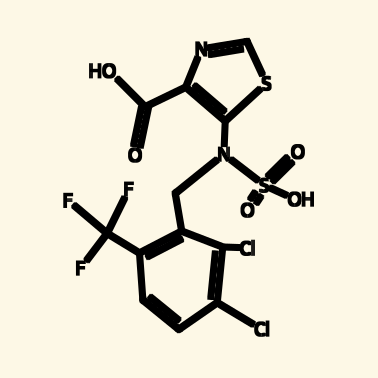 O=C(O)c1ncsc1N(Cc1c(C(F)(F)F)ccc(Cl)c1Cl)S(=O)(=O)O